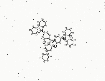 S=P12c3ccc(-n4c5ccccc5c5ccccc54)cc3Oc3cc(-c4ccccc4)cc(c31)Oc1cc(-n3c4ccccc4c4ccccc43)ccc12